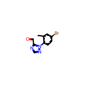 Cc1cc(Br)ccc1-n1ncnc1C=O